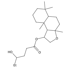 CCC(O)CCC(=O)OC1COC2(C)CCC3C(C)(C)CCCC3(C)C12